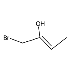 CC=C(O)CBr